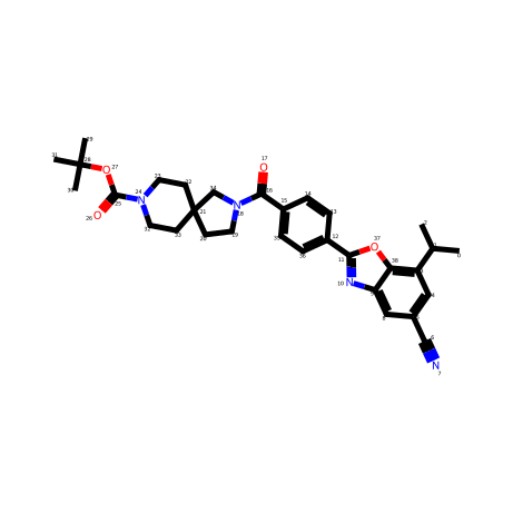 CC(C)c1cc(C#N)cc2nc(-c3ccc(C(=O)N4CCC5(CCN(C(=O)OC(C)(C)C)CC5)C4)cc3)oc12